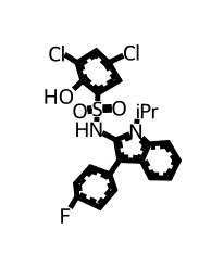 CC(C)n1c(NS(=O)(=O)c2cc(Cl)cc(Cl)c2O)c(-c2ccc(F)cc2)c2ccccc21